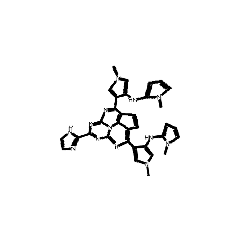 Cn1cc(Nc2cccn2C)c(-c2nc3nc(-c4ncc[nH]4)nc4nc(-c5cn(C)cc5Nc5cccn5C)c5ccc2c5n34)c1